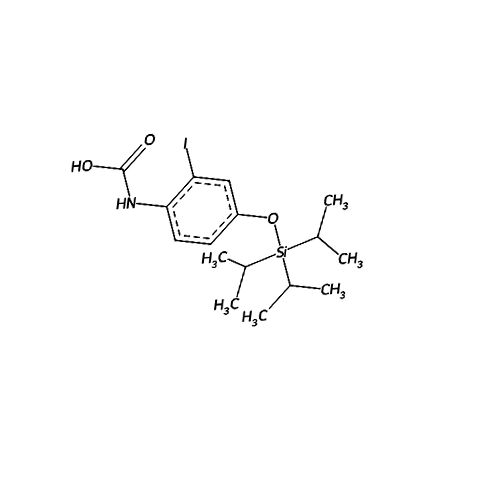 CC(C)[Si](Oc1ccc(NC(=O)O)c(I)c1)(C(C)C)C(C)C